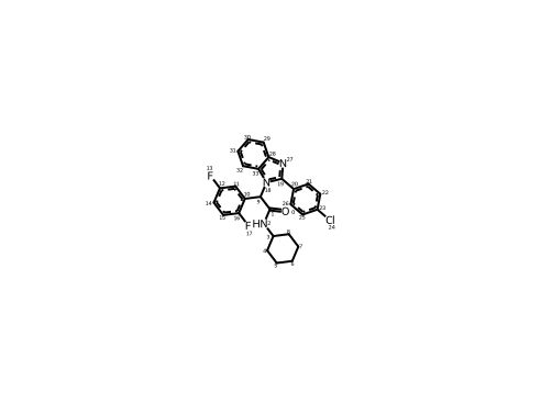 O=C(NC1CCCCC1)C(c1cc(F)ccc1F)n1c(-c2ccc(Cl)cc2)nc2ccccc21